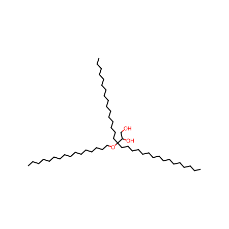 CCCCCCCCCCCCCCCCOC(CCCCCCCCCCCCCCCC)(CCCCCCCCCCCCCCCC)C(O)CO